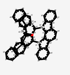 c1ccc(-c2cc(-c3ccccc3)cc(-n3c4ccccc4c4ccc5c6ccccc6n(-c6nc(-c7ccccc7)nc(-c7ccccc7)n6)c5c43)c2)cc1